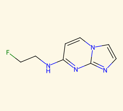 FCCNc1ccn2ccnc2n1